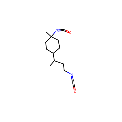 CC(CCN=C=O)C1CCC(C)(N=C=O)CC1